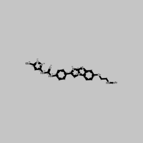 CCCNCCOc1ccc2c(c1)sc1nc(-c3ccc(NC(=O)Nc4cc(C(C)(C)C)on4)cc3)cn12